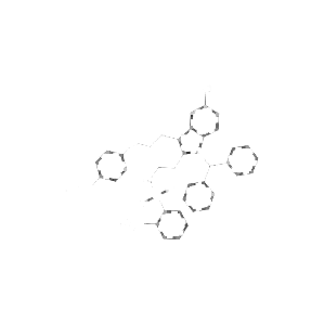 O=C(O)c1ccc(OCCc2c(CCNS(=O)(=O)c3ccccc3C(=O)O)n(C(c3ccccc3)c3ccccc3)c3ccc(Cl)cc23)cc1